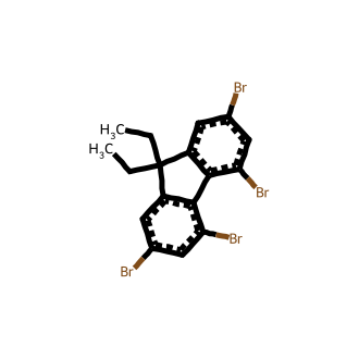 CCC1(CC)c2cc(Br)cc(Br)c2-c2c(Br)cc(Br)cc21